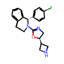 Fc1ccc([C@H]2c3ccccc3CCN2C2=NC[C@@H](C3CNC3)O2)cc1